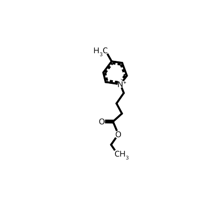 CCOC(=O)CCC[n+]1ccc(C)cc1